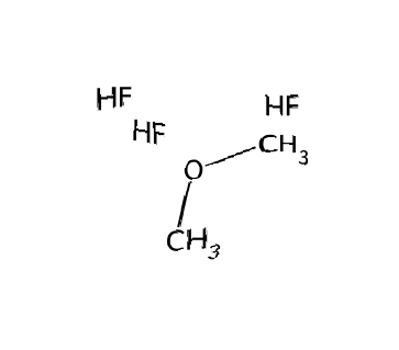 COC.F.F.F